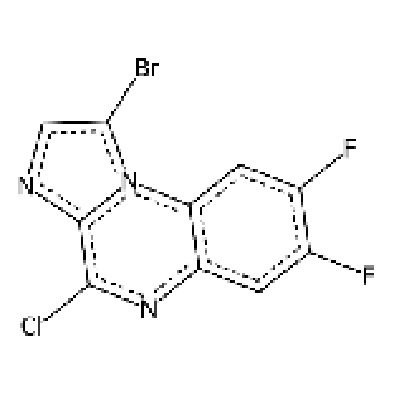 Fc1cc2nc(Cl)c3ncc(Br)n3c2cc1F